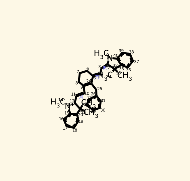 CN1/C(=C/C=C2\CCCC(/C=C/C3=[N+](C)c4ccccc4C3(C)C)=C2Cc2ccccc2)C(C)(C)c2ccccc21